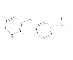 CC(C)c1ccc2c(c1)CC1=C(S2)C(=O)CC=C1